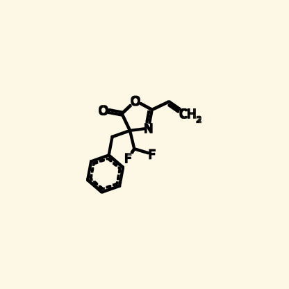 C=CC1=NC(Cc2ccccc2)(C(F)F)C(=O)O1